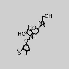 CSc1cc(OC[C@@H]2[C@H]3CC[C@H](c4nc(CO)cs4)O[C@H]3C[C@@H]2O)ccc1C